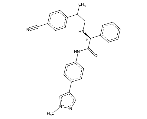 CC(CN[C@H](C(=O)Nc1ccc(-c2cnn(C)c2)cc1)c1ccccc1)c1ccc(C#N)cc1